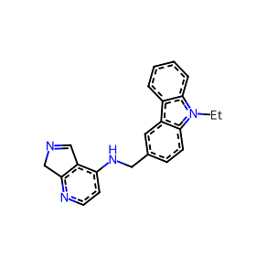 CCn1c2ccccc2c2cc(CNc3ccnc4c3C=NC4)ccc21